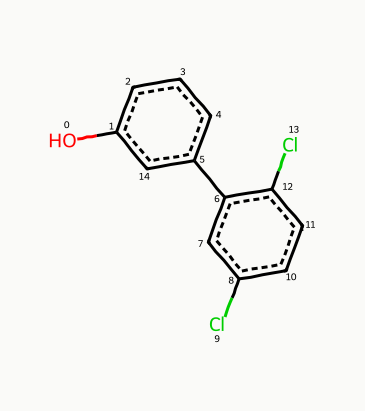 Oc1cccc(-c2cc(Cl)c[c]c2Cl)c1